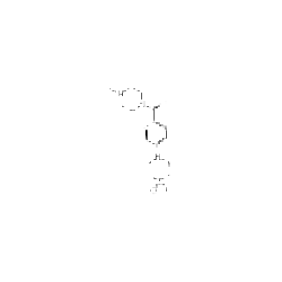 CN1CCN(C(=O)c2ccc(N3CCS(=O)(=O)CC3)cc2)CC1